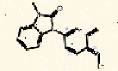 C=CC(/C=C\C(=C/C)n1c(=O)n(C)c2ccccc21)=C/CC